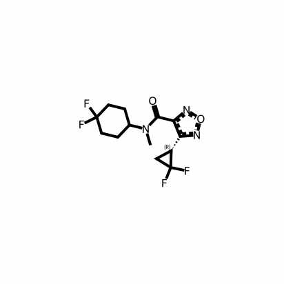 CN(C(=O)c1nonc1[C@H]1CC1(F)F)C1CCC(F)(F)CC1